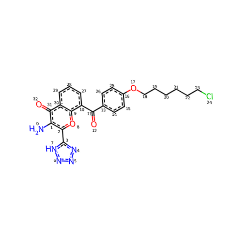 Nc1c(-c2nnn[nH]2)oc2c(C(=O)c3ccc(OCCCCCCCl)cc3)cccc2c1=O